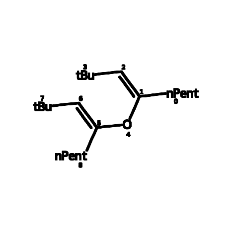 CCCCCC(=CC(C)(C)C)OC(=CC(C)(C)C)CCCCC